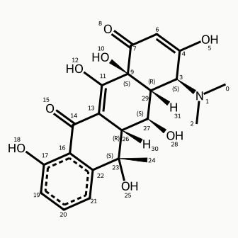 CN(C)[C@@H]1C(O)=CC(=O)[C@@]2(O)C(O)=C3C(=O)c4c(O)cccc4[C@@](C)(O)[C@H]3[C@H](O)[C@@H]12